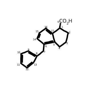 O=C(O)C1CCCc2c(Cc3ccccc3)cccc21